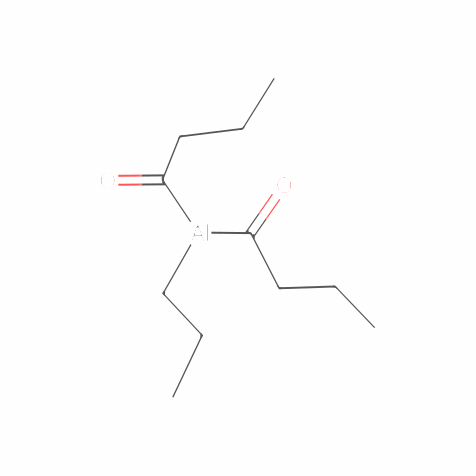 CCC[C](=O)[Al]([CH2]CC)[C](=O)CCC